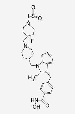 Cc1c(Cc2ccc(C(=O)NO)cc2)c2ccccc2n1CC1CCN(CC2(F)CCN(C[SH](=O)=O)CC2)CC1